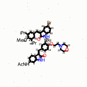 CC(=O)Nc1ccc2c(c1)NC(=O)C2=Cc1ccc(OCCN2CCOCC2)c(C(C)(C)C)c1.COc1c(C(C)C)cc(C=C2C(=O)Nc3ccc(Br)cc32)cc1C(C)C